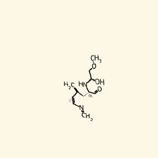 C=N/C=C\C(=C)C[C@@H](C=O)NC(O)COC